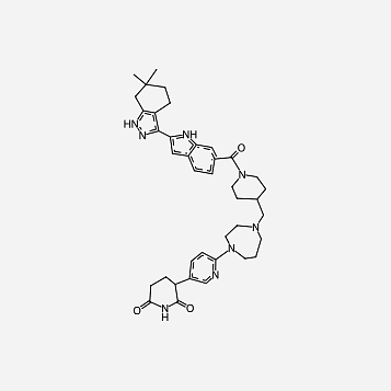 CC1(C)CCc2c(-c3cc4ccc(C(=O)N5CCC(CN6CCCN(c7ccc(C8CCC(=O)NC8=O)cn7)CC6)CC5)cc4[nH]3)n[nH]c2C1